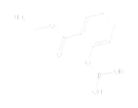 CCOC(=O)c1ccccc1OB(O)O